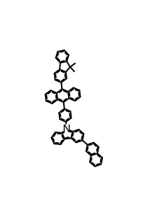 CC1(C)c2ccccc2-c2ccc(-c3c4ccccc4c(-c4ccc(-n5c6ccccc6c6cc(-c7ccc8ccccc8c7)ccc65)cc4)c4ccccc34)cc21